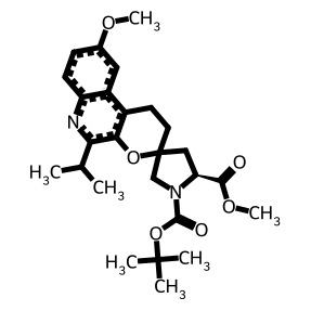 COC(=O)[C@@H]1CC2(CCc3c(c(C(C)C)nc4ccc(OC)cc34)O2)CN1C(=O)OC(C)(C)C